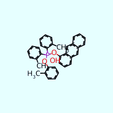 Cc1ccccc1OP(O)(Oc1cccc2cc3ccccc3cc12)(c1ccccc1C)c1ccccc1C